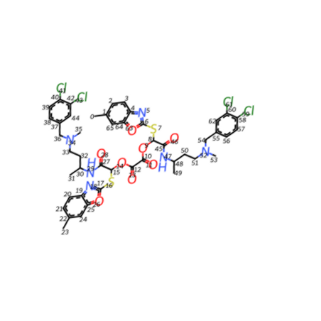 Cc1ccc2nc(SC(OC(=O)C(=O)OC(Sc3nc4ccc(C)cc4o3)C(=O)NC(C)CCN(C)Cc3ccc(Cl)c(Cl)c3)C(=O)NC(C)CCN(C)Cc3ccc(Cl)c(Cl)c3)oc2c1